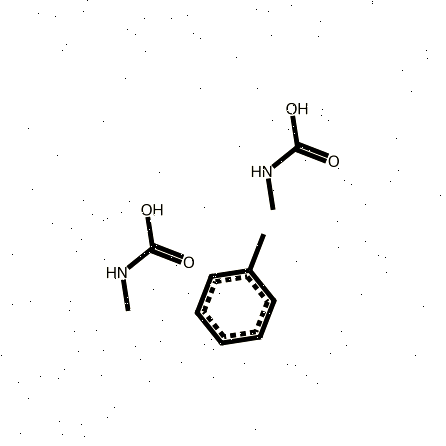 CNC(=O)O.CNC(=O)O.Cc1ccccc1